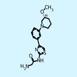 CO[C@@H]1CCCN(c2cccc(-c3csc(NC(=O)CN)n3)c2)C1